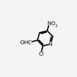 O=[C]c1cc([N+](=O)[O-])cnc1Cl